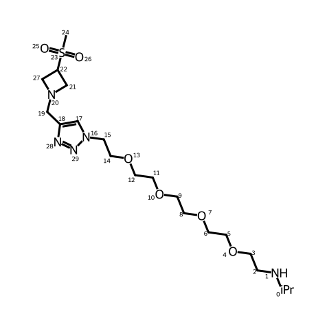 CC(C)NCCOCCOCCOCCOCCn1cc(CN2CC(S(C)(=O)=O)C2)nn1